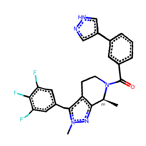 C[C@H]1c2nn(C)c(-c3cc(F)c(F)c(F)c3)c2CCN1C(=O)c1cccc(-c2cn[nH]c2)c1